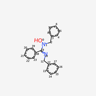 ON(Cc1ccccc1)C(=NCc1ccccc1)c1ccccc1